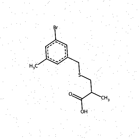 Cc1cc(Br)cc(CSCC(C)C(=O)O)c1